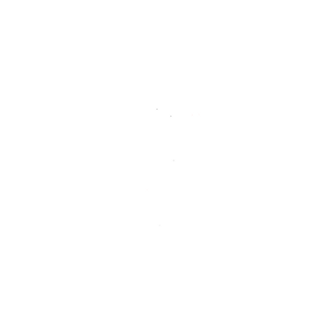 CC1C(=O)OC2(OC3CC4C5CC6OC67C(O)C=CC(=O)C7(C)C5CCC4(C)C3C(C)(O)C2O)C1C